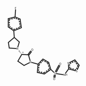 O=C1[C@@H](N2CCC(c3ccc(F)cc3)C2)CCN1c1ccc(S(=O)(=O)Nc2nccs2)cc1